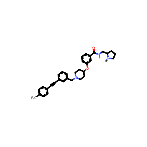 CCN1CCCC1CNC(=O)c1cccc(OC2CCN(Cc3cccc(C#Cc4ccc(C(F)(F)F)cc4)c3)CC2)c1